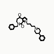 O=C1CCN(Cc2ccccc2)C(=O)c2c1ccn2CCCCN1CCC(c2ccccc2)CC1